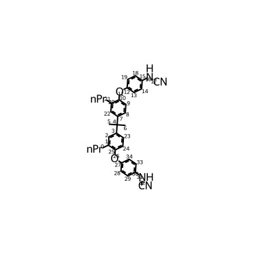 CCCc1cc(C(C)(C)c2ccc(Oc3ccc(NC#N)cc3)c(CCC)c2)ccc1Oc1ccc(NC#N)cc1